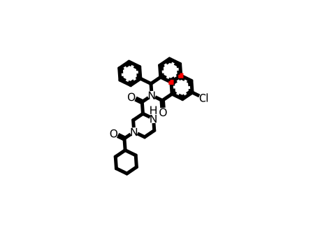 O=C(C1CCCCC1)N1CCNC(C(=O)N(C(=O)c2cccc(Cl)c2)C(c2ccccc2)c2ccccc2)C1